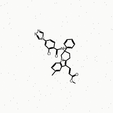 COC(=O)C=Cc1c2n(c3ccc(C)cc13)C[C@@](NC(=O)c1ccc(-n3cnnc3)cc1Cl)(c1ccccc1)CC2